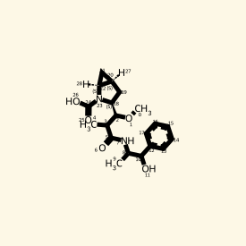 COC(C(C)C(=O)NC(C)C(O)c1ccccc1)[C@@H]1C[C@@H]2C[C@@H]2N1C(=O)O